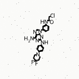 Nc1nc(Nc2ccc(N3CCC(F)(F)CC3)cc2)nc2c1ncn2-c1cccc(NC(=O)CCl)c1